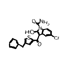 NC(=O)n1c(O)c(C(=O)c2cc(Cc3ccccc3)cs2)c2cc(Cl)ccc21